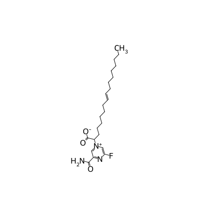 CCCCCCCCC=CCCCCCCC(C(=O)[O-])[n+]1cc(F)nc(C(N)=O)c1